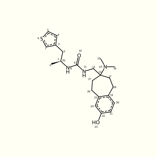 C[C@@H](Cc1ccsc1)NC(=O)NCC1(N(C)C)CCc2ccc(O)cc2CC1